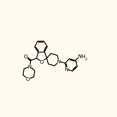 Nc1ccnc(N2CCC3(CC2)OC(C(=O)N2CCOCC2)c2ccccc23)c1